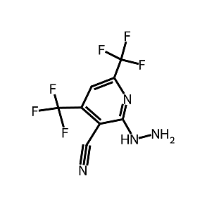 N#Cc1c(C(F)(F)F)cc(C(F)(F)F)nc1NN